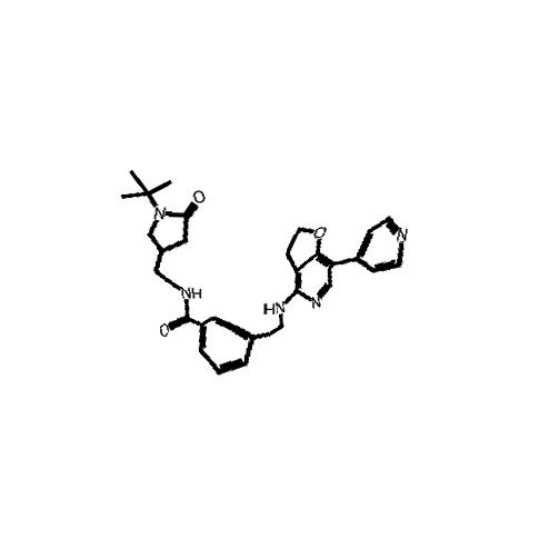 CC(C)(C)N1CC(CNC(=O)c2cccc(CNc3ncc(-c4ccncc4)c4c3CCO4)c2)CC1=O